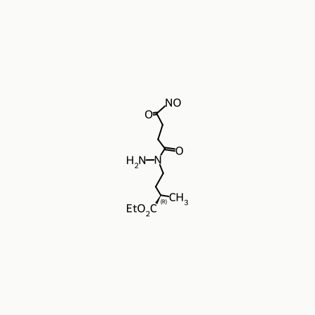 CCOC(=O)[C@H](C)CCN(N)C(=O)CCC(=O)N=O